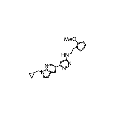 COc1ccccc1CCNc1cc(-c2cnc3c(ccn3CC3CC3)c2)ncn1